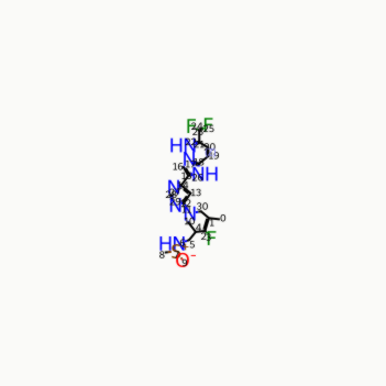 CC1=C(F)C(CN[S+](C)[O-])CN(c2cc(-c3cnc(/C=C\C(=N)C(F)F)[nH]3)ncn2)C1